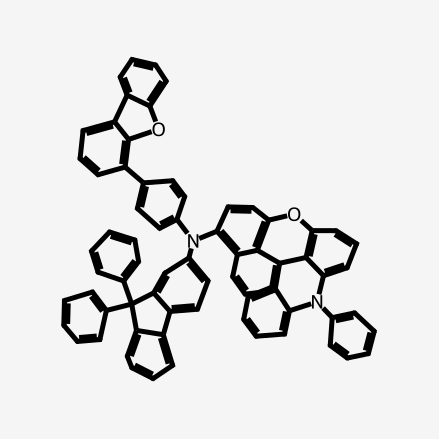 c1ccc(N(c2ccccc2)c2cccc3c2-c2cccc4c(N(c5ccc(-c6cccc7c6oc6ccccc67)cc5)c5ccc6c(c5)C(c5ccccc5)(c5ccccc5)c5ccccc5-6)ccc(c24)O3)cc1